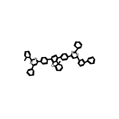 CC1C=CC=CC1c1nc(-c2ccccc2)cc(-c2ccc(-c3ccc(-c4ccc(-c5cc(-c6cccc(-c7ccccc7)c6)nc(-c6ccccc6)n5)cc4)c4c3OC3=CC=CCC34C)cc2)n1